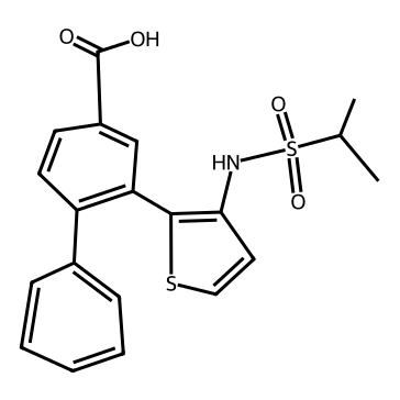 CC(C)S(=O)(=O)Nc1ccsc1-c1cc(C(=O)O)ccc1-c1ccccc1